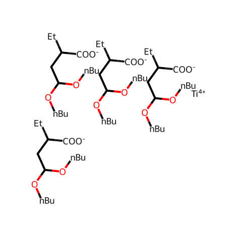 CCCCOC(CC(CC)C(=O)[O-])OCCCC.CCCCOC(CC(CC)C(=O)[O-])OCCCC.CCCCOC(CC(CC)C(=O)[O-])OCCCC.CCCCOC(CC(CC)C(=O)[O-])OCCCC.[Ti+4]